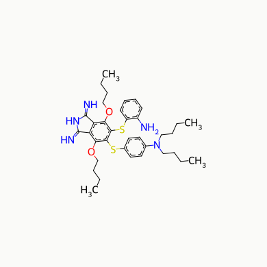 CCCCOc1c(Sc2ccc(N(CCCC)CCCC)cc2)c(Sc2ccccc2N)c(OCCCC)c2c1C(=N)NC2=N